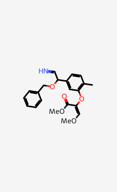 CO/C=C(/Oc1cc(C(C=N)OCc2ccccc2)ccc1C)C(=O)OC